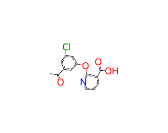 CC(=O)c1cc(Cl)cc(Oc2ncccc2C(=O)O)c1